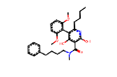 CCCCc1nc(O)c(C(=O)N(C)CCCCc2ccccc2)c(O)c1-c1c(OC)cccc1OC